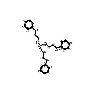 c1ccc(CCCOP(OCCCc2ccccc2)OCCCc2ccccc2)cc1